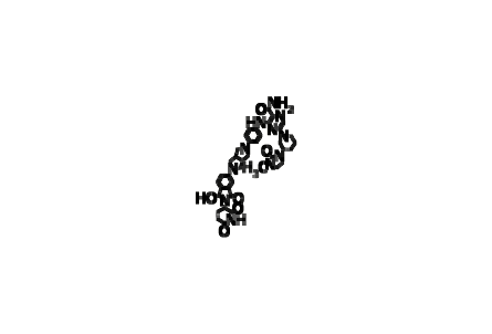 CN1CCN([C@H]2CCCN(c3cnc(C(N)=O)c(Nc4ccc(N5CC6CN(c7ccc8c(c7)C(=O)N(C7CCC(=O)NC7=O)C8O)CC6C5)cc4)n3)C2)C1=O